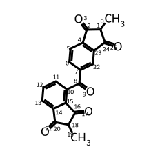 CC1C(=O)c2ccc(C(=O)c3cccc4c3C(=O)C(C)C4=O)cc2C1=O